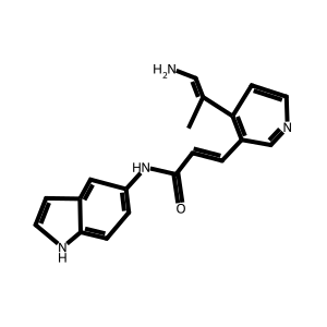 C/C(=C\N)c1ccncc1/C=C/C(=O)Nc1ccc2[nH]ccc2c1